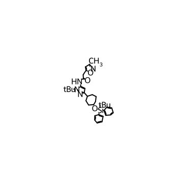 Cc1cc(CC(=O)Nc2cc(C3CCCC(O[Si](c4ccccc4)(c4ccccc4)C(C)(C)C)CC3)nn2C(C)(C)C)on1